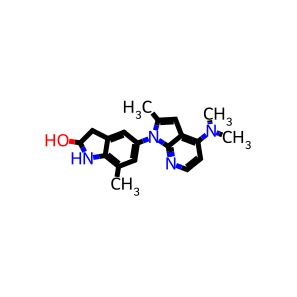 Cc1cc(-n2c(C)cc3c(N(C)C)ccnc32)cc2c1NC(O)C2